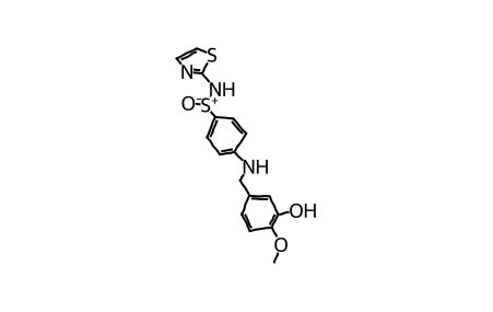 COc1ccc(CNc2ccc([S+]([O-])Nc3nccs3)cc2)cc1O